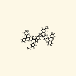 N#Cc1ccc(-c2cc3cc4c(cc(-c5ccc(C#N)cc5)n4-c4ccc(N(c5ccccc5)c5ccccc5)cc4)cc3n2-c2ccc(N(c3ccccc3)c3ccccc3)cc2)cc1